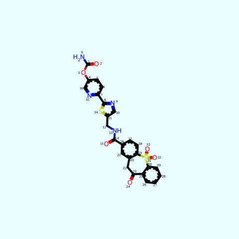 NC(=O)Oc1ccc(-c2ncc(CNC(=O)c3ccc4c(c3)CC(=O)c3ccccc3S4(=O)=O)s2)nc1